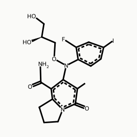 Cc1c(N(OC[C@@H](O)CO)c2ccc(I)cc2F)c(C(N)=O)c2n(c1=O)CCC2